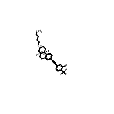 CCCCCC[C@@H]1CC[C@@H]2c3ccc(C#Cc4ccc(C(F)(F)F)c(F)c4)cc3CC[C@@H]2C1